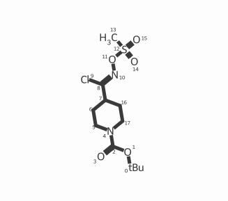 CC(C)(C)OC(=O)N1CCC(C(Cl)=NOS(C)(=O)=O)CC1